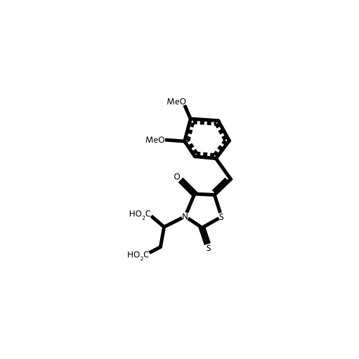 COc1ccc(C=C2SC(=S)N(C(CC(=O)O)C(=O)O)C2=O)cc1OC